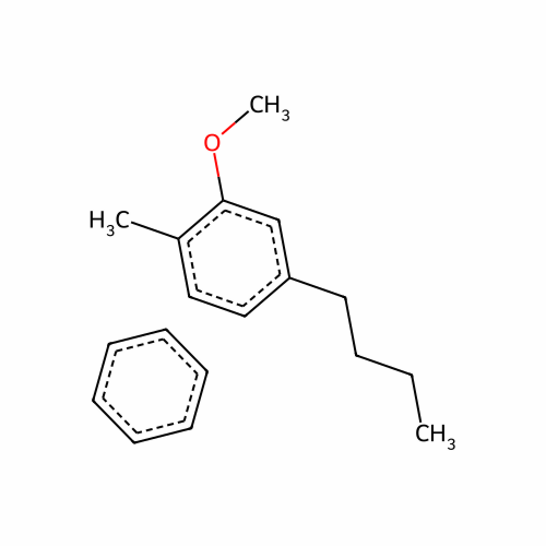 CCCCc1ccc(C)c(OC)c1.c1ccccc1